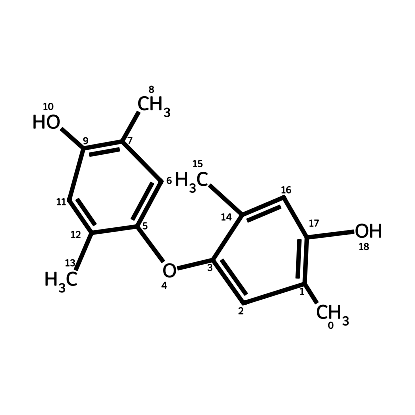 Cc1cc(Oc2cc(C)c(O)cc2C)c(C)cc1O